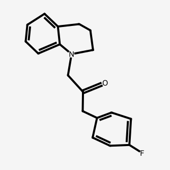 O=C(Cc1ccc(F)cc1)CN1CCCc2ccccc21